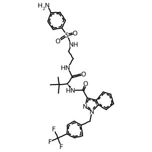 CC(C)(C)[C@H](NC(=O)c1nn(Cc2ccc(C(F)(F)F)cc2)c2ccccc12)C(=O)NCCNS(=O)(=O)c1ccc(N)cc1